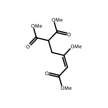 COC(=O)C=C(CC(C(=O)OC)C(=O)OC)OC